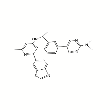 Cc1nc(NC(C)c2cccc(-c3cnc(N(C)C)nc3)c2)cc(-c2ccc3ncsc3c2)n1